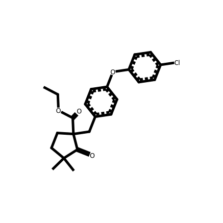 CCOC(=O)C1(Cc2ccc(Oc3ccc(Cl)cc3)cc2)CCC(C)(C)C1=O